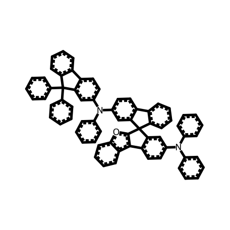 c1ccc(N(c2ccc3c(c2)C(c2ccccc2)(c2ccccc2)c2ccccc2-3)c2ccc3c(c2)C2(c4ccccc4-3)c3cc(N(c4ccccc4)c4ccccc4)ccc3-c3c2oc2ccccc32)cc1